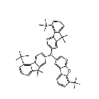 CC(C)(C)c1cccc2c1-c1ccc(N(c3ccc4c(c3)C(C)(C)c3cccc(C(C)(C)C)c3-4)c3ccc4oc5c(C(C)(C)C)cccc5c4c3)cc1C2(C)C